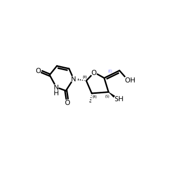 C[C@H]1[C@H](S)/C(=C\O)O[C@H]1n1ccc(=O)[nH]c1=O